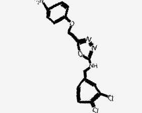 Nc1ccc(OCc2nnc(NCc3ccc(Cl)c(Cl)c3)o2)cc1